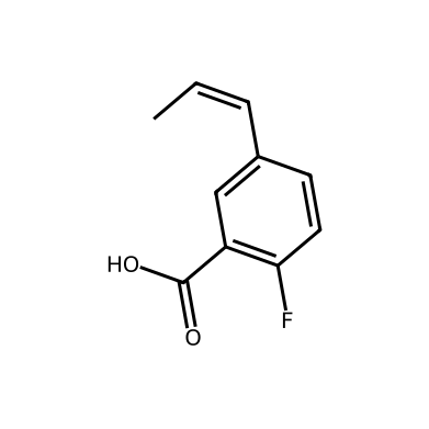 C/C=C\c1ccc(F)c(C(=O)O)c1